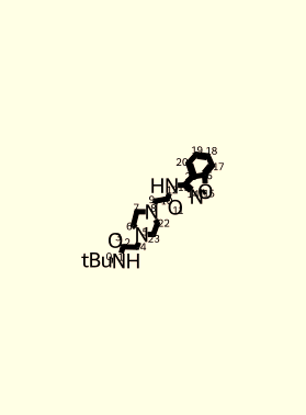 CC(C)(C)NC(=O)CN1CCN(CC(=O)Nc2noc3ccccc23)CC1